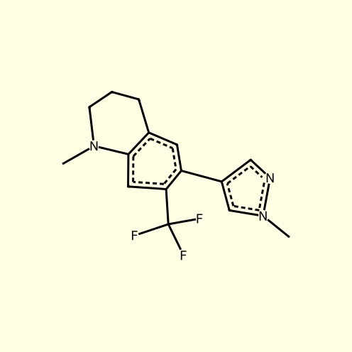 CN1CCCc2cc(-c3cnn(C)c3)c(C(F)(F)F)cc21